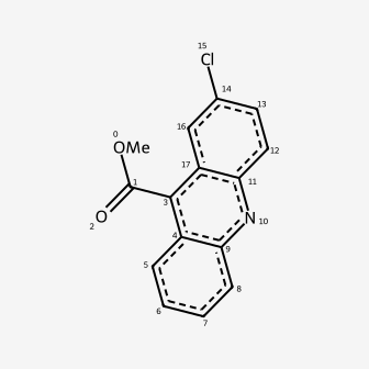 COC(=O)c1c2ccccc2nc2ccc(Cl)cc12